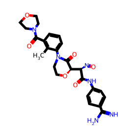 Cc1c(C(=O)N2CCOCC2)cccc1N1CCO[C@H]([C@@H](N=O)C(=O)Nc2ccc(C(=N)N)cc2)C1=O